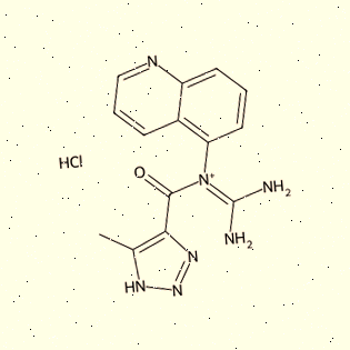 Cc1[nH]nnc1C(=O)[N+](=C(N)N)c1cccc2ncccc12.Cl